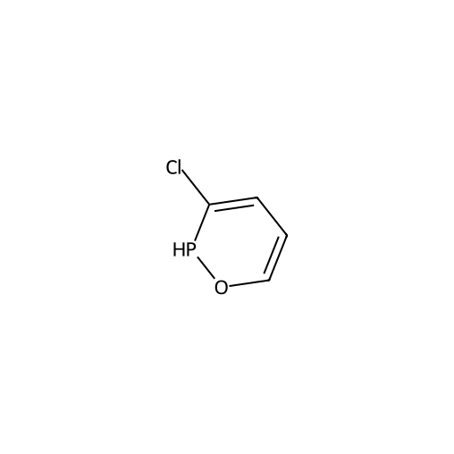 ClC1=CC=COP1